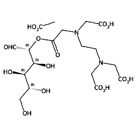 CC(=O)O.O=C[C@H](OC(=O)CN(CCN(CC(=O)O)CC(=O)O)CC(=O)O)[C@@H](O)[C@H](O)[C@H](O)CO